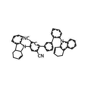 N#Cc1cc(N2c3ccccc3C3CCC=CC32)c(C#N)cc1-c1cccc(-c2ccccc2-n2c3c(c4ccccc42)CCC=C3)c1